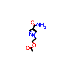 CC(=O)OCCn1cc(C(N)=O)cn1